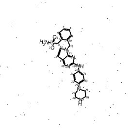 NS(=O)(=O)Cc1ccccc1Cn1ccc2cnc(Nc3ccc(N4CCNCC4)cc3)nc21